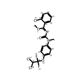 COC(=NC(=O)N(C)c1ccc(OC(F)(F)C(Cl)Cl)cc1)c1ccccc1Cl